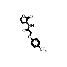 O=C(COc1ccc(C(F)(F)F)cc1)NC1CCOC1=O